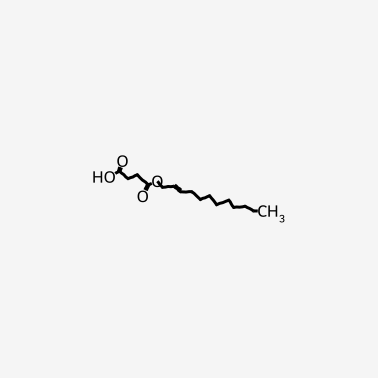 CCCCCCCCCC=CCOC(=O)CCC(=O)O